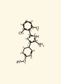 CC(C)OC1=NCC(c2nc(-c3c(Cl)cccc3Cl)[nH]c2N)C=N1